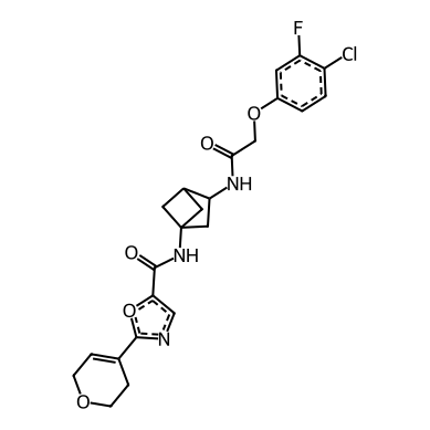 O=C(COc1ccc(Cl)c(F)c1)NC1CC2(NC(=O)c3cnc(C4=CCOCC4)o3)CC1C2